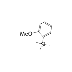 COc1ccccc1[Si](C)(C)C